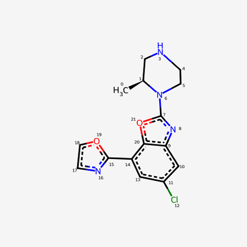 C[C@H]1CNCCN1c1nc2cc(Cl)cc(-c3ncco3)c2o1